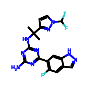 CC(C)(Nc1nc(N)nc(-c2cc3[nH]ncc3cc2F)n1)c1ccn(C(F)F)n1